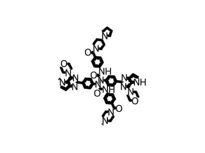 CN1CCN(C(=O)c2ccc(NC(=O)N(c3ccc(-c4nc(N5CCOCC5)c5c(ccn5C)n4)cc3)N(C(=O)Nc3ccc(C(=O)N4CCC(N5CCCC5)CC4)cc3)c3ccc(-c4nc(N5CCOCC5)c5[nH]ccc5n4)cc3)cc2)CC1